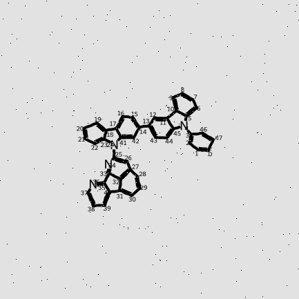 c1ccc(-n2c3ccccc3c3cc(-c4ccc5c6ccccc6n(-c6cc7cccc8c7c(n6)-c6ncccc6-8)c5c4)ccc32)cc1